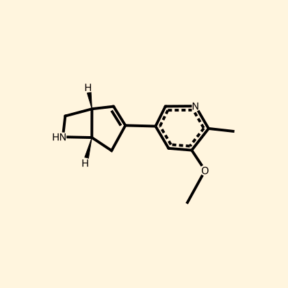 COc1cc(C2=C[C@H]3CN[C@H]3C2)cnc1C